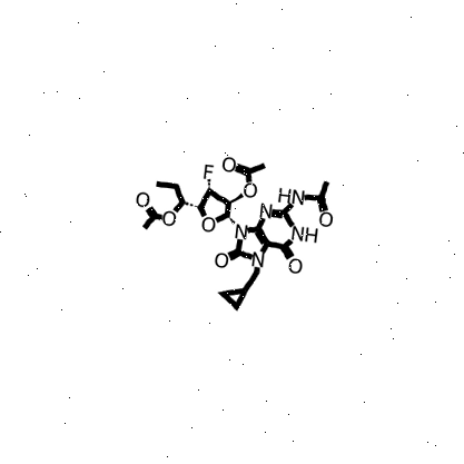 CCC(OC(C)=O)[C@H]1O[C@@H](n2c(=O)n(CC3CC3)c3c(=O)[nH]c(NC(C)=O)nc32)[C@H](OC(C)=O)[C@H]1F